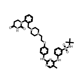 Cc1cnc(Nc2ccc(OCCN3CCN(Cc4ccccc4N4CCC(=O)NC4=O)CC3)cc2)nc1Nc1cccc(S(=O)(=O)NC(C)(C)C)c1